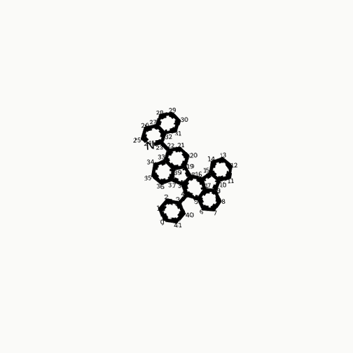 c1ccc(-c2c3cccc4c5ccccc5c(c34)c3c4ccc(-c5nccc6ccccc56)c5cccc(c23)c54)cc1